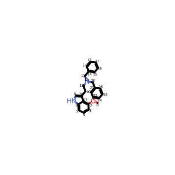 COc1cccc2[nH]cc(CCN(Cc3ccccc3)Cc3ccccc3)c12